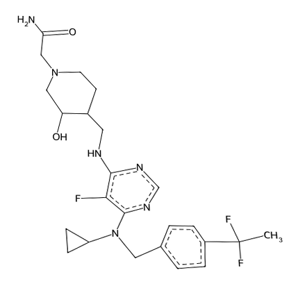 CC(F)(F)c1ccc(CN(c2ncnc(NCC3CCN(CC(N)=O)CC3O)c2F)C2CC2)cc1